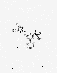 CCc1oc(CCc2cc(N3CCOCC3)cc(NC(=O)OC(C)(C)C)n2)nc1C